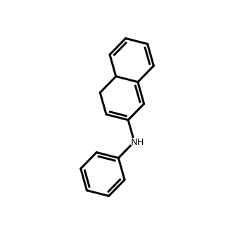 C1=CC2=CC(Nc3ccccc3)=CCC2C=C1